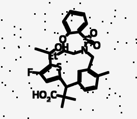 CCC1CN(Cc2cc(C(c3cc(F)c(C(C)O)s3)C(C)(C)C(=O)O)ccc2C)S(=O)(=O)c2ccccc2O1